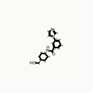 O=C(N[C@H]1CC[C@H](CO)CC1)c1cccc(-n2ccnc2)c1